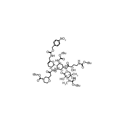 CN(C(=O)OC(C)(C)C)[C@@H]1[C@@H](O)[C@@H](O[C@H]2[C@H](NC(=O)[C@@H](O)CCNC(=O)OC(C)(C)C)C[C@H](NC(=O)OC(C)(C)C)C([C@H]3OC(CNC(=O)OCc4ccc([N+](=O)[O-])cc4)=CC[C@H]3NC(=O)CC3CN(C(=O)OC(C)(C)C)CCO3)[C@@H]2O)OC[C@]1(C)O